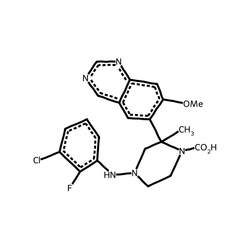 COc1cc2ncncc2cc1C1(C)CN(Nc2cccc(Cl)c2F)CCN1C(=O)O